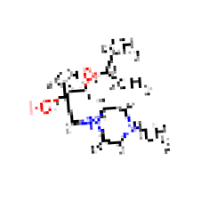 CC(C)OCC(C)(O)CN1CCN(C)CC1